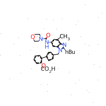 CCCCc1nc2c(C)cc(NC(=O)N3CCOCC3)cc2n1Cc1ccc(-c2ccccc2OC(=O)O)cc1